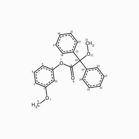 COc1cccc(OC(=O)C(OC)(c2ccccc2)c2ccccc2)c1